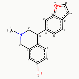 CN1Cc2cc(O)ccc2C(c2ccc3ccoc3c2)C1